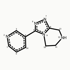 c1cncc(-c2nnc3n2CCNC3)c1